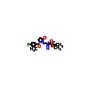 Cc1cc(F)ccc1C(=O)[C@@H]1CCC(=O)N1CCNC(=O)OC(C)(C)C